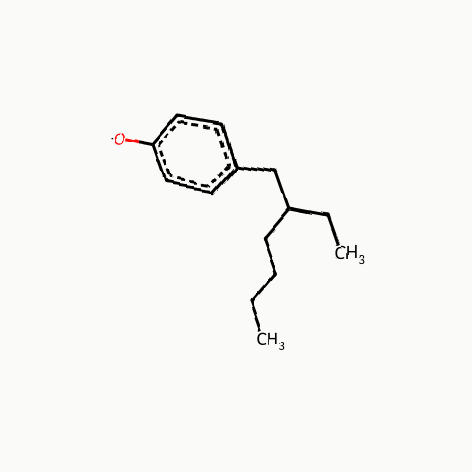 CCCCC(CC)Cc1ccc([O])cc1